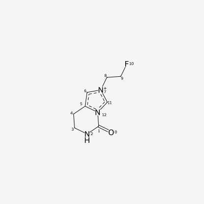 O=C1NCCc2c[n+](CCF)cn21